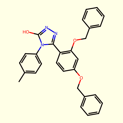 Cc1ccc(-n2c(O)nnc2-c2ccc(OCc3ccccc3)cc2OCc2ccccc2)cc1